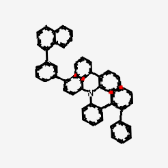 c1ccc(-c2ccccc2-c2ccccc2N(c2ccc(-c3cccc(-c4cccc5ccccc45)c3)cc2)c2ccccc2-c2ccccc2)cc1